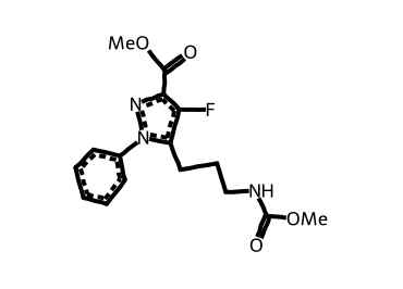 COC(=O)NCCCc1c(F)c(C(=O)OC)nn1-c1ccccc1